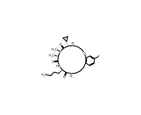 C[C@@H]1C(=O)N[C@H](CCCN)C(=O)NCCCc2ccc(F)cc2OCCN[C@@H](C2CC2)C(=O)N1C